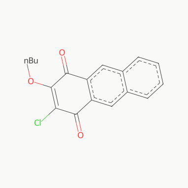 CCCCOC1=C(Cl)C(=O)c2cc3ccccc3cc2C1=O